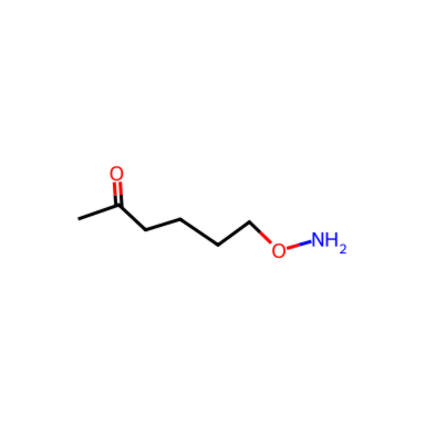 CC(=O)CCCCON